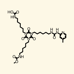 COC(=O)NCCCCCCn1c(=O)n(CCCCCCNC(=O)O)c(=O)n(CCCCCCNC(=O)Nc2cc(C)ccn2)c1=O